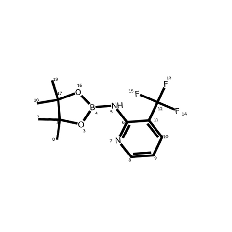 CC1(C)OB(Nc2ncccc2C(F)(F)F)OC1(C)C